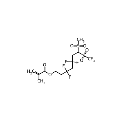 C=C(C)C(=O)OCCC(F)(F)CC(F)(F)CC(S(C)(=O)=O)S(=O)(=O)C(F)(F)F